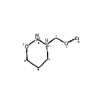 CCOC[SiH]1CCCO[SiH2]1